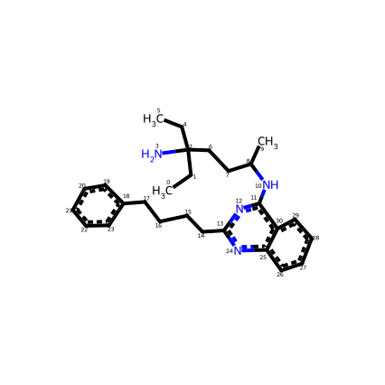 CCC(N)(CC)CCC(C)Nc1nc(CCCCc2ccccc2)nc2ccccc12